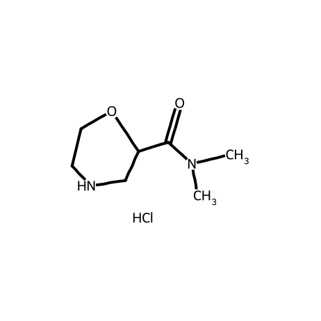 CN(C)C(=O)C1CNCCO1.Cl